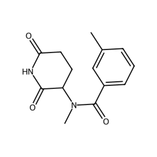 Cc1cccc(C(=O)N(C)C2CCC(=O)NC2=O)c1